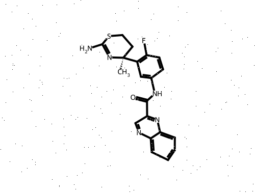 C[C@@]1(c2cc(NC(=O)c3cnc4ccccc4n3)ccc2F)CCSC(N)=N1